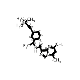 Cc1cc(C)n2cnc(C(=O)NC(c3cccc(C#C[Si](C)(C)C)c3)C(F)(F)F)c2n1